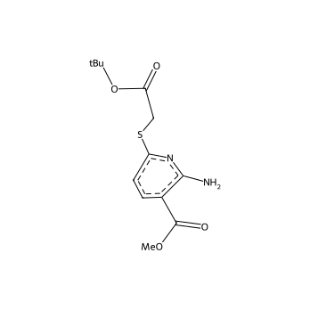 COC(=O)c1ccc(SCC(=O)OC(C)(C)C)nc1N